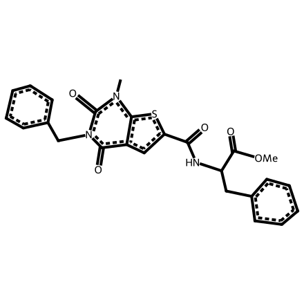 COC(=O)C(Cc1ccccc1)NC(=O)c1cc2c(=O)n(Cc3ccccc3)c(=O)n(C)c2s1